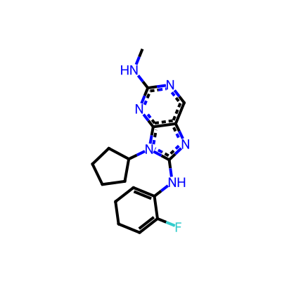 CNc1ncc2nc(NC3=CCCC=C3F)n(C3CCCC3)c2n1